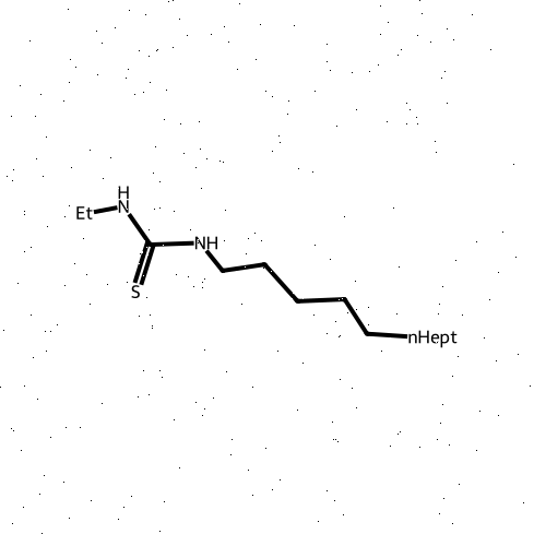 CCCCCCCCCCCCNC(=S)NCC